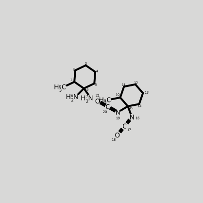 CC1CCCCC1(N)N.CC1CCCCC1(N=C=O)N=C=O